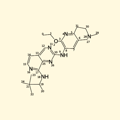 CCOc1nc2c(cc1Nc1ncc3ccnc(NC(C)C(C)(C)C)c3n1)CN(C)CC2